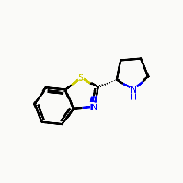 c1ccc2sc([C@@H]3CCCN3)nc2c1